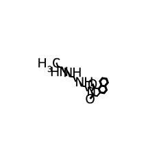 CCCNNCCCNCCCN1C(=O)Cc2ccc3ccccc3c2C1=O